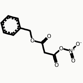 O=C(CC(=O)O[N+](=O)[O-])OCc1ccccc1